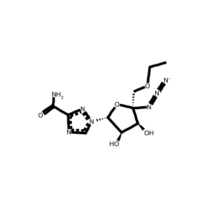 CCOC[C@@]1(N=[N+]=[N-])O[C@@H](n2cnc(C(N)=O)n2)[C@H](O)[C@@H]1O